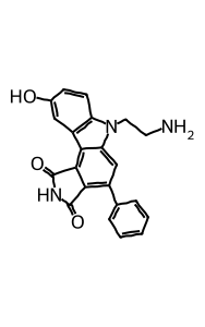 NCCn1c2ccc(O)cc2c2c3c(c(-c4ccccc4)cc21)C(=O)NC3=O